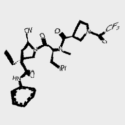 C=C[C@]1(C(=O)Nc2ccccc2)C[C@@H](C#N)N(C(=O)[C@H](CC(C)C)N(C)C(=O)[C@H]2CCN(C(=O)C(F)(F)F)C2)C1